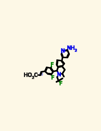 CC1Cc2cc(-c3ccc(N)nc3)ccc2C(c2c(F)cc(/C=C/C(=O)O)cc2F)N1CC(C)(C)F